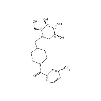 O=C(c1cccc(C(F)(F)F)c1)N1CCC(CN2C[C@H](O)[C@@H](O)[C@H](O)[C@@H]2CO)CC1